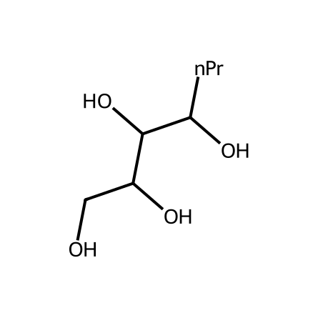 CCCC(O)C(O)C(O)CO